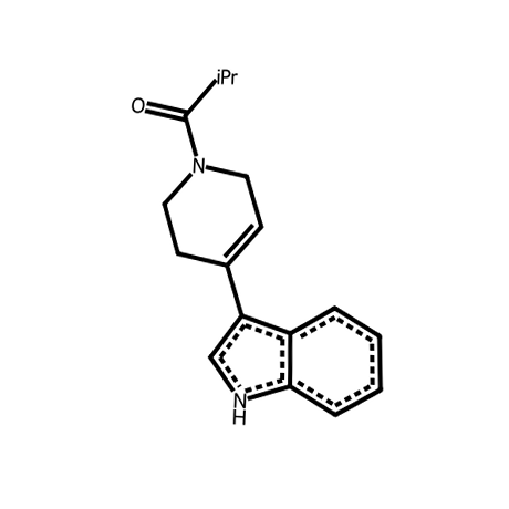 CC(C)C(=O)N1CC=C(c2c[nH]c3ccccc23)CC1